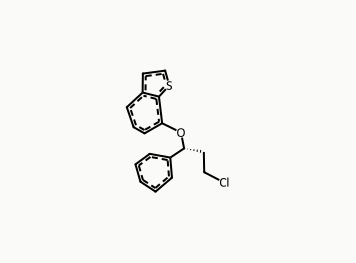 ClCC[C@@H](Oc1cccc2ccsc12)c1ccccc1